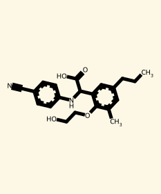 CCCc1cc(C)c(OCCO)c(C(Nc2ccc(C#N)cc2)C(=O)O)c1